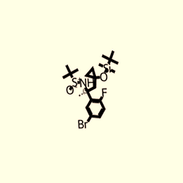 CC(C)(C)[S+]([O-])N[C@@](C)(CC1(O[Si](C)(C)C(C)(C)C)CC1)c1cc(Br)ccc1F